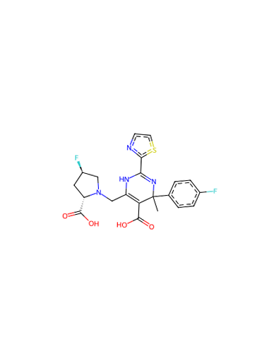 CC1(c2ccc(F)cc2)N=C(c2nccs2)NC(CN2C[C@H](F)C[C@H]2C(=O)O)=C1C(=O)O